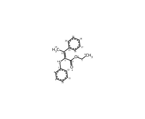 CCOC(=O)/C(Sc1ccccc1)=C(/C)c1ccccc1